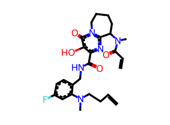 C=CCCN(C)c1cc(F)ccc1CNC(=O)c1nc2n(c(=O)c1O)CCCCC2N(C)C(=O)C=C